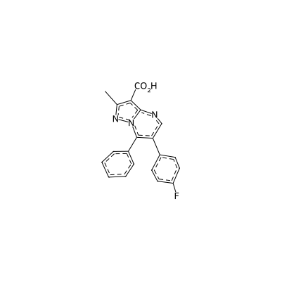 Cc1nn2c(-c3ccccc3)c(-c3ccc(F)cc3)cnc2c1C(=O)O